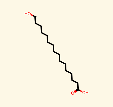 O=C(O)[CH]CCCCCCCCCCCCC[CH]O